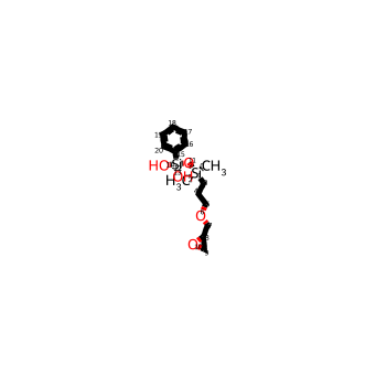 C[Si](C)(CCCOCC1CO1)O[Si](O)(O)c1ccccc1